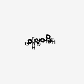 COc1ccc(F)c(NC2CCN(c3ccc(-c4n[nH]c(=O)c5ccccc45)cc3)C2=O)c1